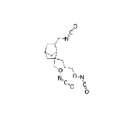 O=C=NCC1CC2CC1C(CCCON=C=O)(CON=C=O)C2